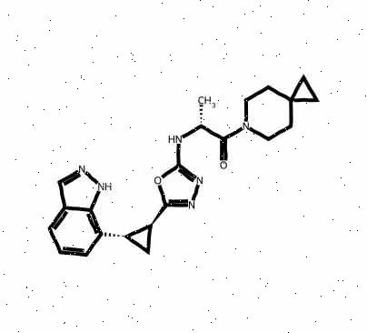 C[C@@H](Nc1nnc([C@H]2C[C@@H]2c2cccc3cn[nH]c23)o1)C(=O)N1CCC2(CC1)CC2